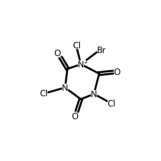 O=C1N(Cl)C(=O)[N+](Cl)(Br)C(=O)N1Cl